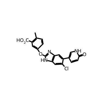 Cc1ccc(Oc2nc3cc(-c4ccc(=O)[nH]c4)c(Cl)cc3[nH]2)cc1C(=O)O